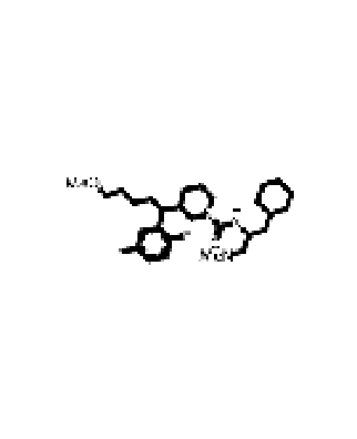 CNCC(CC1CCCCC1)NC(=O)N1CCCC(C(CCCCOC)c2cc(C)ccc2F)C1